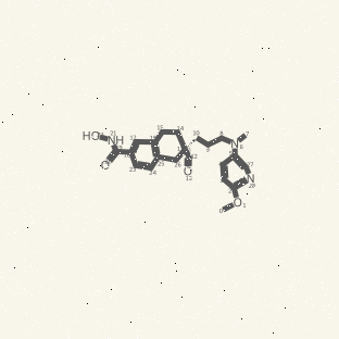 COc1ccc(N(C)CCC[C@@]2(C=O)CCc3cc(C(=O)NO)ccc3C2)cn1